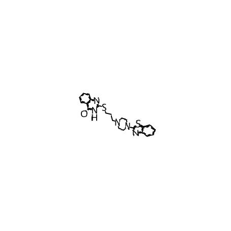 O=c1[nH]c(SCCCN2CCN(c3nc4ccccc4s3)CC2)nc2ccccc12